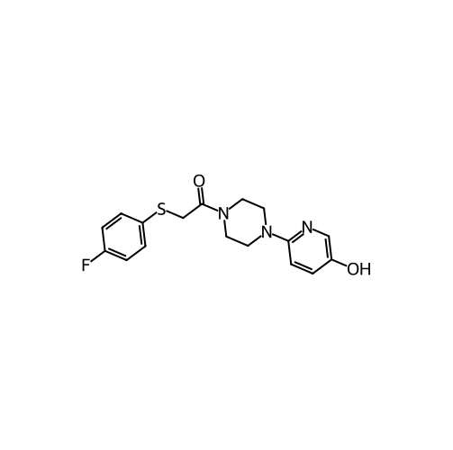 O=C(CSc1ccc(F)cc1)N1CCN(c2ccc(O)cn2)CC1